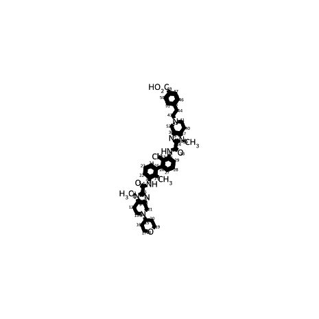 Cc1c(NC(=O)c2nc3c(n2C)CCN(C2CCOCC2)C3)cccc1-c1cccc(NC(=O)c2nc3c(n2C)CCN(CCc2ccc(C(=O)O)cc2)C3)c1Cl